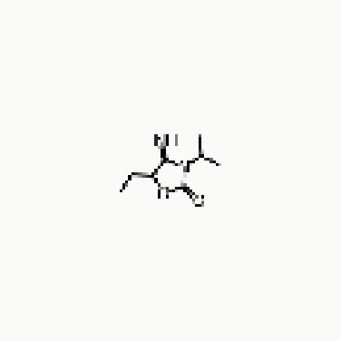 CCC1OC(=O)N(C(C)C)C1=N